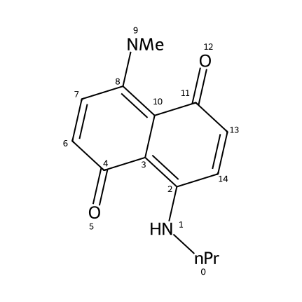 CCCNC1=C2C(=O)C=CC(NC)=C2C(=O)C=C1